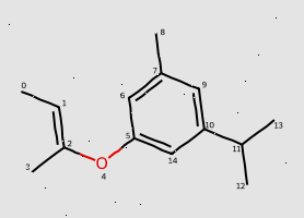 CC=C(C)Oc1cc(C)cc(C(C)C)c1